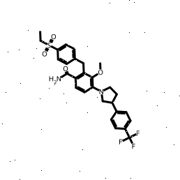 CCS(=O)(=O)c1ccc(Cc2c(C(N)=O)ccc(N3CCC(c4ccc(C(F)(F)F)cc4)C3)c2OC)cc1